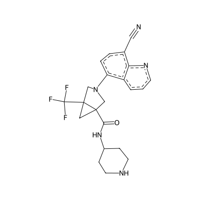 N#Cc1ccc(N2CC3(C(=O)NC4CCNCC4)CC3(C(F)(F)F)C2)c2cccnc12